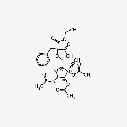 C#C[C@@]1(OC(C)=O)[C@@H](COC(Cc2ccccc2)(C(=O)O)C(=O)OCC)OC(OC(C)=O)[C@@H]1OC(C)=O